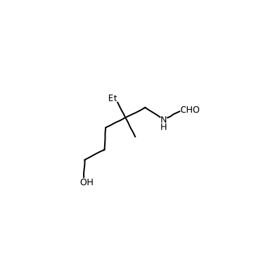 CCC(C)(CCCO)CNC=O